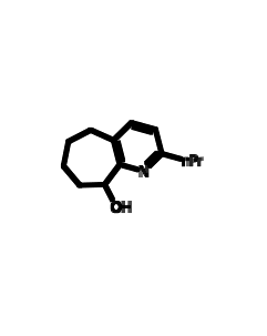 CCCc1ccc2c(n1)C(O)CCCC2